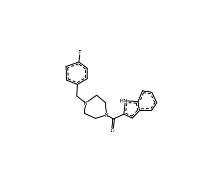 O=C(c1cc2ccccc2[nH]1)N1CCN(Cc2ccc(F)cc2)CC1